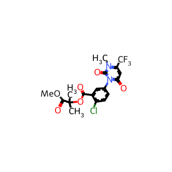 COC(=O)C(C)(C)OC(=O)c1cc(-n2c(=O)cc(C(F)(F)F)n(C)c2=O)ccc1Cl